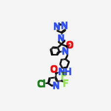 O=C(NC1CCC(CN2C(=O)C3(CN(c4cncnc4)C3)c3ccccc32)CC1)c1cc(Cl)cnc1C(F)F